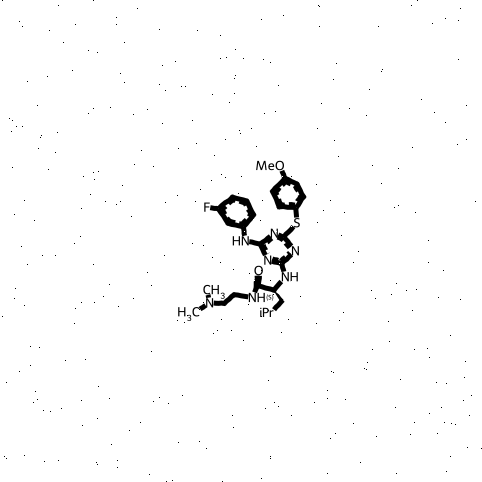 COc1ccc(Sc2nc(Nc3cccc(F)c3)nc(N[C@@H](CC(C)C)C(=O)NCCN(C)C)n2)cc1